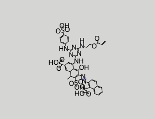 C=CC(=O)OCCNc1nc(NC2=CC(S(=O)(=O)O)=CC3C2=C(O)C(/N=N/c2ccc4ccccc4c2S(=O)(=O)O)=C(S(=O)(=O)O)C3C)nc(Nc2ccc(S(=O)(=O)O)cc2)n1